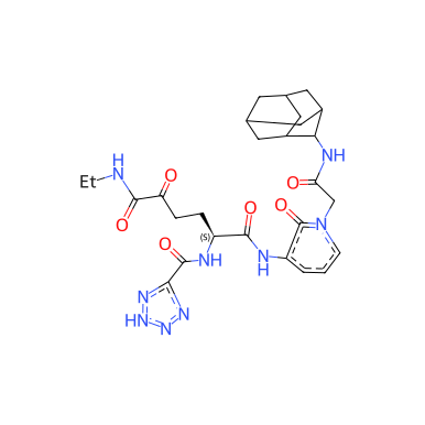 CCNC(=O)C(=O)CC[C@H](NC(=O)c1nn[nH]n1)C(=O)Nc1cccn(CC(=O)NC2C3CC4CC(C3)CC2C4)c1=O